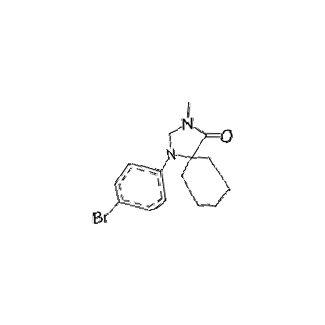 CN1CN(c2ccc(Br)cc2)C2(CCCCC2)C1=O